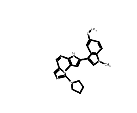 COc1ccc2c(c1)c(-c1cc3c(ncc4cnc(N5CCCC5)n43)[nH]1)cn2C